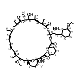 COC1C[C@@H]2CC[C@@H](C)[C@@](O)(O2)C(=O)C(=O)N2CCCCC2C(=O)OC([C@H](N)CC2CCC[C@H](OC)C2)CC(=O)C(C)/C=C(\C)C(O)[C@@H](O)C(=O)C(C)CC(C)/C=C/C=C/C=C/1C